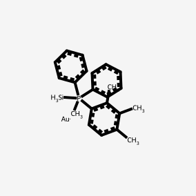 Cc1ccc(P(C)([SiH3])(c2ccccc2)c2ccccc2)c(C)c1C.[Au]